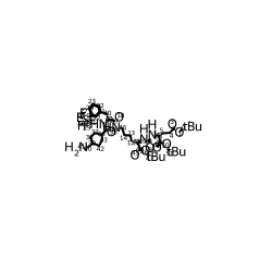 CC(C)(C)OC(=O)CC[C@H](NC(=O)N[C@@H](CCCCNC(=O)[C@H](Cc1cccc(S(F)(F)(F)(F)F)c1)NC(=O)C1CCC(CN)CC1)C(=O)OC(C)(C)C)C(=O)OC(C)(C)C